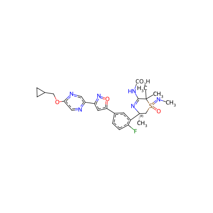 CN=S1(=O)C[C@@](C)(c2cc(-c3cc(-c4cnc(OCC5CC5)cn4)no3)ccc2F)N=C(NC(=O)O)C1(C)C